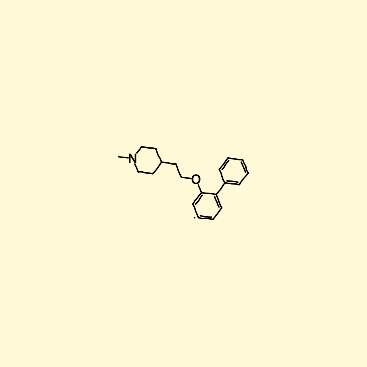 CN1CCC(CCOc2c[c]ccc2-c2ccccc2)CC1